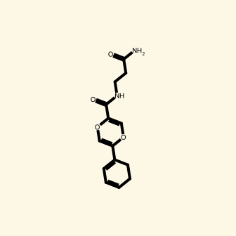 NC(=O)CCNC(=O)C1=COC(C2=CC=CCC2)=CO1